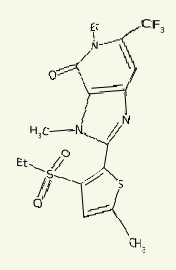 CCn1c(C(F)(F)F)cc2nc(-c3sc(C)cc3S(=O)(=O)CC)n(C)c2c1=O